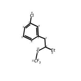 CCC(Cc1[c]ccc(Cl)c1)SC(F)(F)F